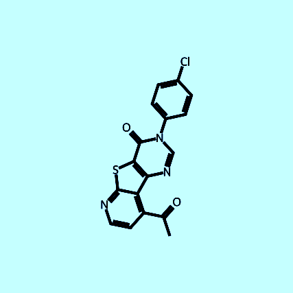 CC(=O)c1ccnc2sc3c(=O)n(-c4ccc(Cl)cc4)cnc3c12